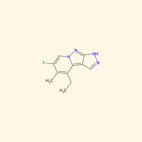 CCc1c(C)c(F)cn2nc3[nH]ncc3c12